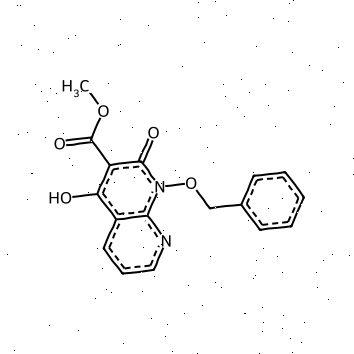 COC(=O)c1c(O)c2cccnc2n(OCc2ccccc2)c1=O